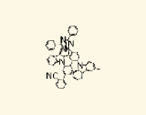 Cc1ccc2c(c1)c1ccccc1n2-c1ccc(-c2nc(-c3ccccc3)nc(-c3ccccc3)n2)cc1-c1ccc(-c2ccccc2C#N)cc1-n1c2ccccc2c2cc(C)ccc21